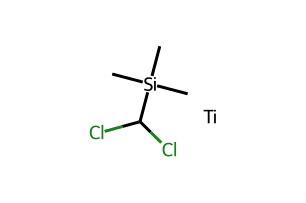 C[Si](C)(C)C(Cl)Cl.[Ti]